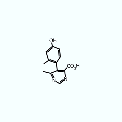 Cc1cc(O)ccc1-c1c(C)ncnc1C(=O)O